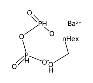 CCCCCCCO.O=[PH]([O-])O[PH](=O)[O-].[Ba+2]